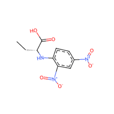 CC[C@@H](Nc1ccc([N+](=O)[O-])cc1[N+](=O)[O-])C(=O)O